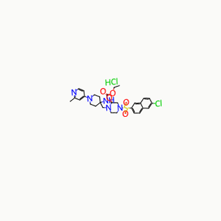 CCOC(=O)NC1(CN2CCN(S(=O)(=O)c3ccc4cc(Cl)ccc4c3)CC2=O)CCN(c2ccnc(C)c2)CC1.Cl